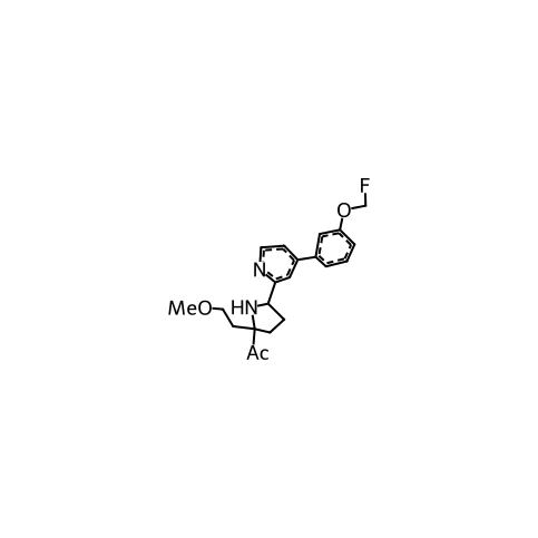 COCCC1(C(C)=O)CCC(c2cc(-c3cccc(OCF)c3)ccn2)N1